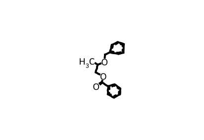 CC(COC(=O)c1ccccc1)OCc1ccccc1